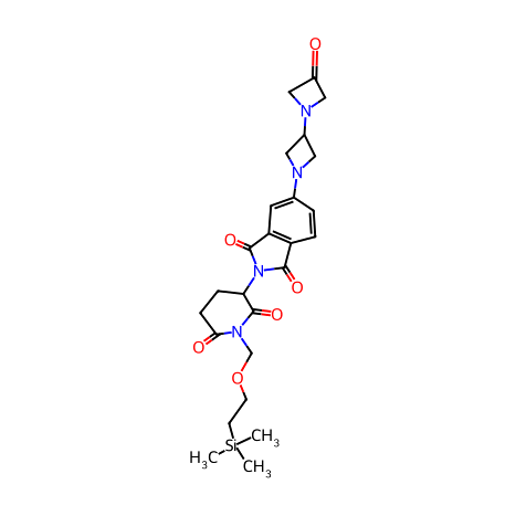 C[Si](C)(C)CCOCN1C(=O)CCC(N2C(=O)c3ccc(N4CC(N5CC(=O)C5)C4)cc3C2=O)C1=O